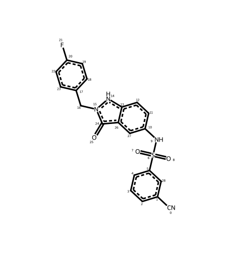 N#Cc1cccc(S(=O)(=O)Nc2ccc3[nH]n(Cc4ccc(F)cc4)c(=O)c3c2)c1